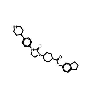 O=C(Oc1ccc2c(c1)CCC2)C1CCC(N2CCN(c3ccc(C4CCNCC4)cc3)C2=O)CC1